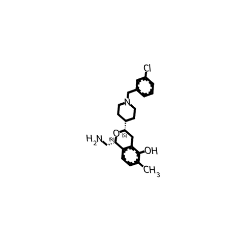 Cc1ccc2c(c1O)C[C@@H](C1CCN(Cc3cccc(Cl)c3)CC1)O[C@H]2CN